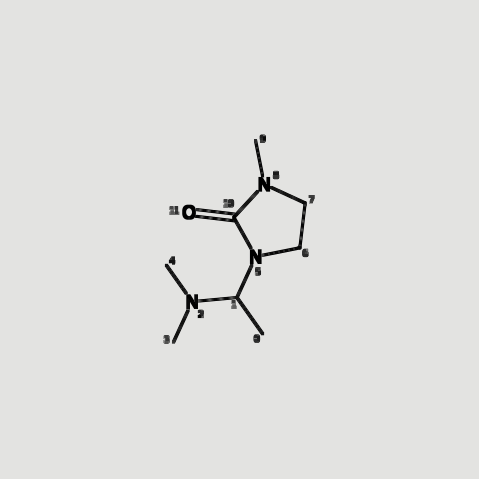 CC(N(C)C)N1CCN(C)C1=O